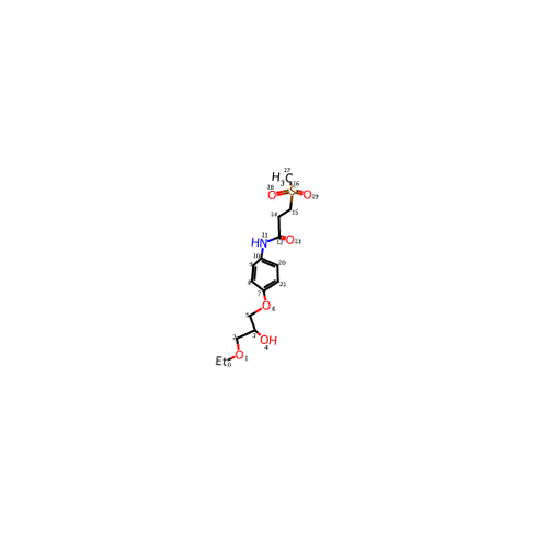 CCOCC(O)COc1ccc(NC(=O)CCS(C)(=O)=O)cc1